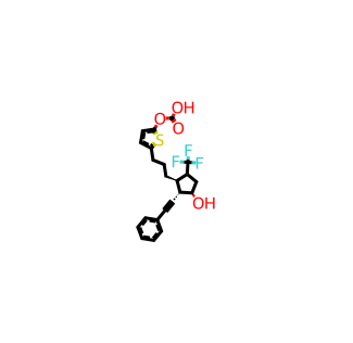 O=C(O)Oc1ccc(CCC[C@H]2C(C(F)(F)F)C[C@@H](O)[C@@H]2C#Cc2ccccc2)s1